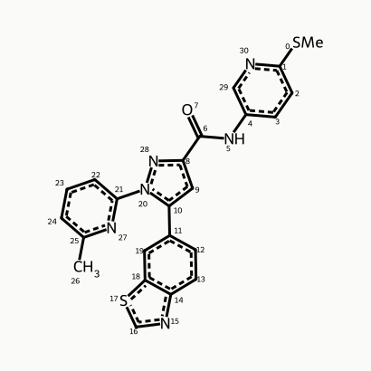 CSc1ccc(NC(=O)c2cc(-c3ccc4ncsc4c3)n(-c3cccc(C)n3)n2)cn1